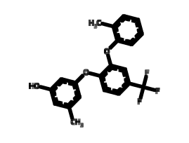 Cc1cc(O)cc(Oc2ccc(C(F)(F)F)cc2Oc2ccccc2C)c1